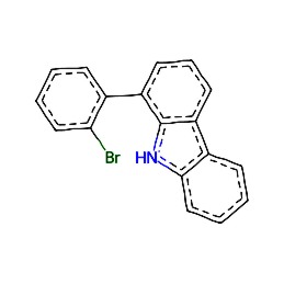 Brc1ccccc1-c1cccc2c1[nH]c1ccccc12